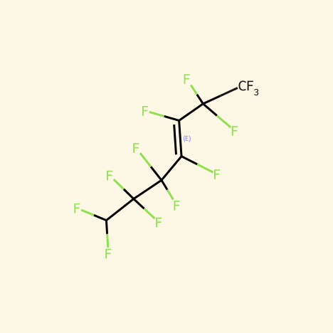 F/C(=C(/F)C(F)(F)C(F)(F)C(F)F)C(F)(F)C(F)(F)F